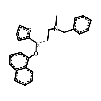 CN(CC[C@H](Oc1cccc2ccccc12)c1cccs1)Cc1ccccc1